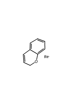 C1=Cc2ccccc2OC1.[Re]